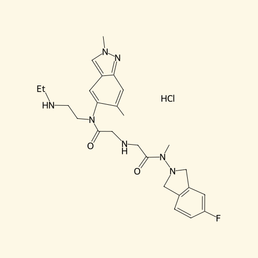 CCNCCN(C(=O)CNCC(=O)N(C)N1Cc2ccc(F)cc2C1)c1cc2cn(C)nc2cc1C.Cl